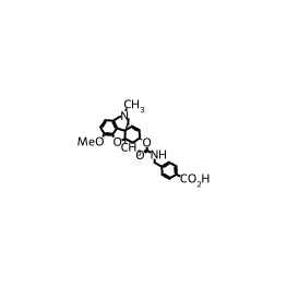 COc1ccc2c3c1O[C@@]1(C)C[C@@H](OC(=O)NCc4ccc(C(=O)O)cc4)C=C[C@@]31CCN(C)C2